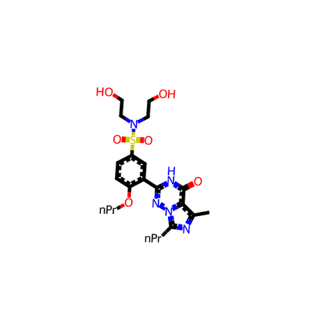 CCCOc1ccc(S(=O)(=O)N(CCO)CCO)cc1-c1nn2c(CCC)nc(C)c2c(=O)[nH]1